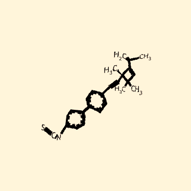 C=C(C)C1=CC(C)(C)[C@]1(C)C#Cc1ccc(-c2ccc(N=C=S)cc2)cc1